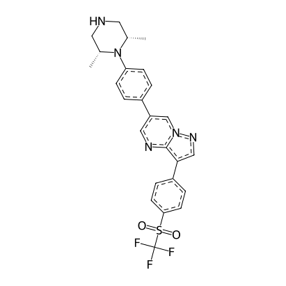 C[C@@H]1CNC[C@H](C)N1c1ccc(-c2cnc3c(-c4ccc(S(=O)(=O)C(F)(F)F)cc4)cnn3c2)cc1